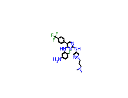 CN(C)CCCn1cc(Nc2ncc(-c3ccc(C(F)(F)F)cc3)c(Nc3cc(N)ccc3F)n2)cn1